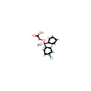 CC(C)[C@](OCC(=O)S)(c1ccccc1)c1ccc(Cl)cc1